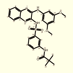 COc1cc(Nc2nc3ccccc3nc2NS(=O)(=O)c2cccc(NC(=O)C(C)(C)C)c2)cc(OC)c1